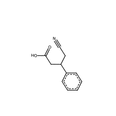 N#CCC(CC(=O)O)c1ccccc1